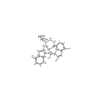 CC1=Cc2c(C)cccc2[CH]1[Zr]([CH3])([CH]1CCCCC1)[CH]1C(C)=Cc2c(C)cccc21.Cl.Cl